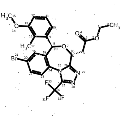 CCOC(=O)C[C@H]1O[C@H](c2cccc(OC)c2C)c2cc(Br)ccc2-n2c1nnc2C(F)(F)F